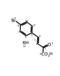 O=C(O)C(=O)/C=C/c1ccc(Br)cc1.[KH]